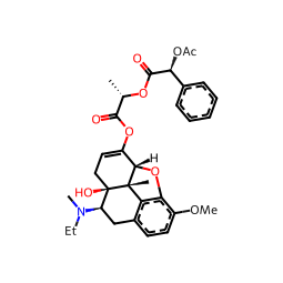 CCN(C)[C@@H]1Cc2ccc(OC)c3c2[C@@]2(C)[C@@H](O3)C(OC(=O)[C@H](C)OC(=O)[C@@H](OC(C)=O)c3ccccc3)=CC[C@@]12O